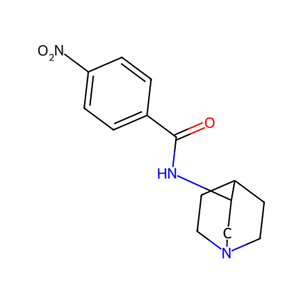 O=C(NC1CN2CCC1CC2)c1ccc([N+](=O)[O-])cc1